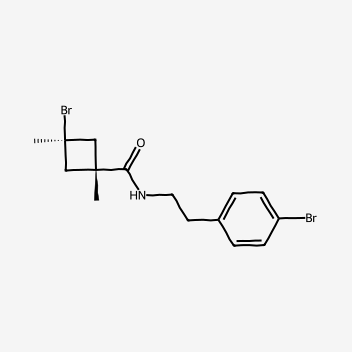 C[C@]1(Br)C[C@](C)(C(=O)NCCc2ccc(Br)cc2)C1